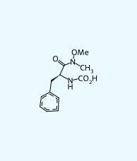 CON(C)C(=O)[C@H](Cc1ccccc1)NC(=O)O